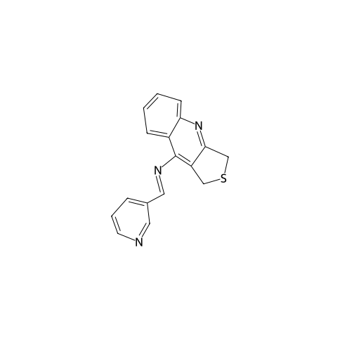 C(=N\c1c2c(nc3ccccc13)CSC2)/c1cccnc1